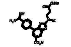 CCN(CCC(=O)OC)c1nc2c(-c3ccc(C(=N)N)cc3)cc(C(=O)O)cc2s1